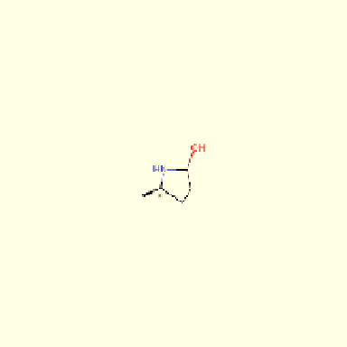 C[C@@H]1CCC(O)N1